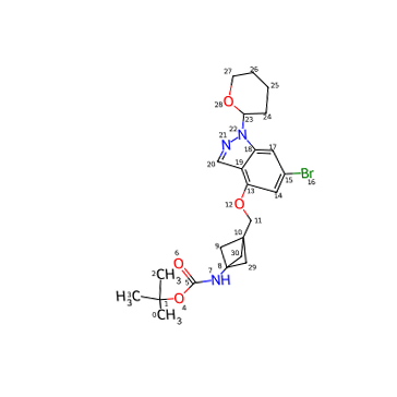 CC(C)(C)OC(=O)NC12CC(COc3cc(Br)cc4c3cnn4C3CCCCO3)(C1)C2